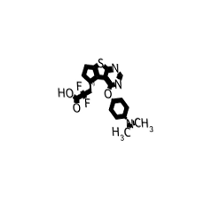 CN(C)[C@H]1CC[C@H](Oc2ncnc3sc4c(c23)[C@@H](CC(F)(F)C(=O)O)CC4)CC1